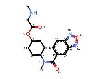 CNCC(=O)OC1CCC(N(C)C(=O)c2ccc3nonc3c2)CC1